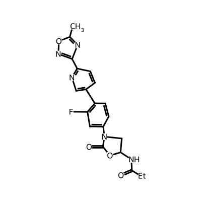 CCC(=O)NC1CN(c2ccc(-c3ccc(-c4noc(C)n4)nc3)c(F)c2)C(=O)O1